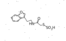 O=C(CSS(=O)(=O)O)NCCc1coc2ccccc12